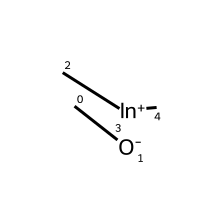 C[O-].[CH3][In+][CH3]